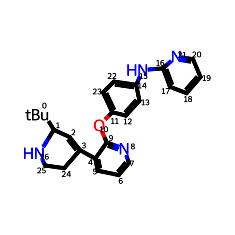 CC(C)(C)C1C=C(c2cccnc2Oc2ccc(Nc3ccccn3)cc2)CCN1